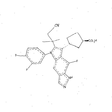 CC(C)(CC#N)c1c([C@@H]2CC[C@@H](C(=O)O)C2)c2c(F)c3[nH]ncc3cc2n1-c1ccc(F)c(F)c1